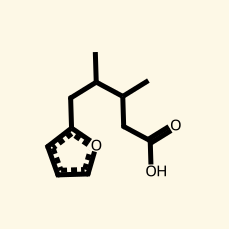 CC(CC(=O)O)C(C)Cc1ccco1